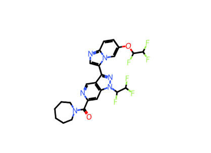 O=C(c1cc2c(cn1)c(-c1cnc3ccc(OC(F)C(F)F)cn13)nn2C(F)C(F)F)N1CCCCCC1